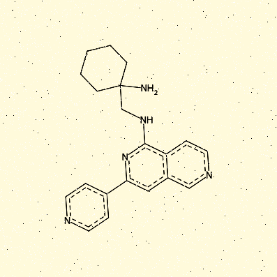 NC1(CNc2nc(-c3ccncc3)cc3cnccc23)CCCCC1